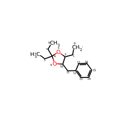 [CH2]CC1OC(CC)(CC)OC1Cc1ccccc1